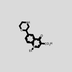 CCn1cc(C(=O)O)c(=O)c2cc(C3CNCCO3)ccc21